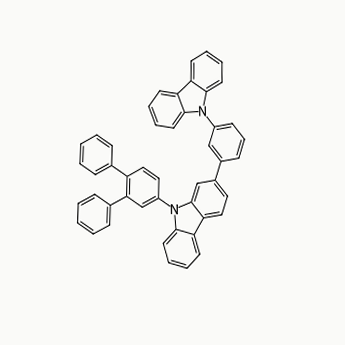 c1ccc(-c2ccc(-n3c4ccccc4c4ccc(-c5cccc(-n6c7ccccc7c7ccccc76)c5)cc43)cc2-c2ccccc2)cc1